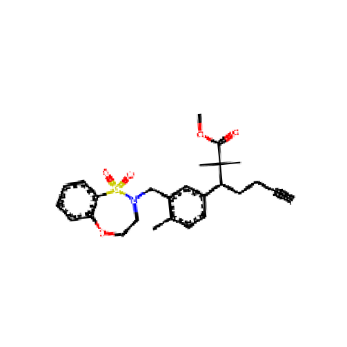 C#CCCC(c1ccc(C)c(CN2CCOc3ccccc3S2(=O)=O)c1)C(C)(C)C(=O)OC